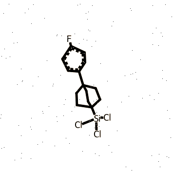 Fc1ccc(C23CCC([Si](Cl)(Cl)Cl)(CC2)CC3)cc1